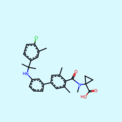 Cc1cc(C(C)(C)Nc2cccc(-c3cc(C)c(C(=O)N(C)C4(C(=O)O)CC4)c(C)c3)c2)ccc1Cl